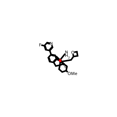 COC1CCC2(CC1)Cc1ccc(-c3cncc(F)c3)cc1C21N=C(N)N(CC2CCO2)C1=O